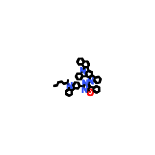 C=C/C=C\C=C(/C)n1c2ccccc2c2cc(-c3nc(-n4c5ccccc5c5cc6c7ccc8ccccc8c7n7c8ccccc8c(c54)c67)c4c(n3)oc3ccccc34)ccc21